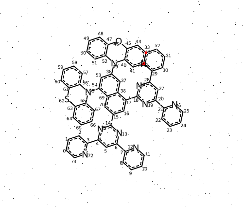 c1ccc(-c2cc(-c3ccccn3)nc(-c3cc(-c4nc(-c5ccccn5)cc(-c5ccccn5)n4)c4cc(N5c6ccccc6Oc6ccccc65)cc(N5c6ccccc6Sc6ccccc65)c4c3)n2)nc1